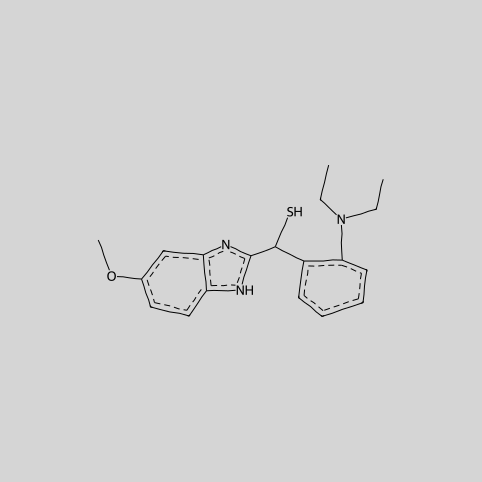 CCN(CC)c1ccccc1C(S)c1nc2cc(OC)ccc2[nH]1